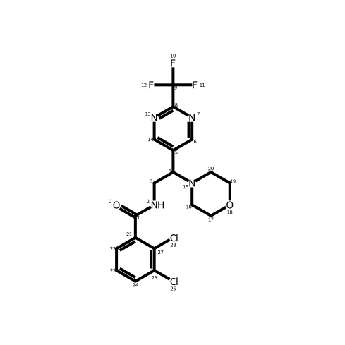 O=C(NCC(c1cnc(C(F)(F)F)nc1)N1CCOCC1)c1cccc(Cl)c1Cl